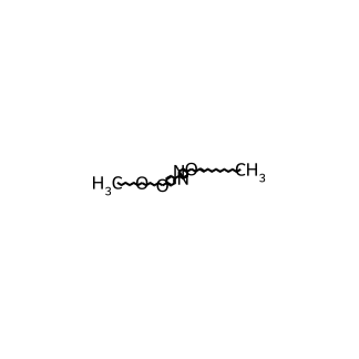 CCCCCCCCCC=CCOc1cnc(-c2ccc(OCCCCOCCCCCC)cc2)nc1